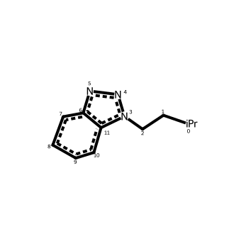 CC(C)CCn1nnc2ccccc21